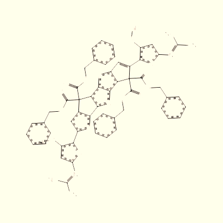 CCCOc1cc(N=C(C#N)C#N)sc1C1=Cc2sc3c4c(sc3c2C1(C(=O)OCc1ccccc1)C(=O)OCc1ccccc1)-c1sc(-c2sc(N=C(C#N)C#N)cc2OCCC)cc1C4(C(=O)OCc1ccccc1)C(=O)OCc1ccccc1